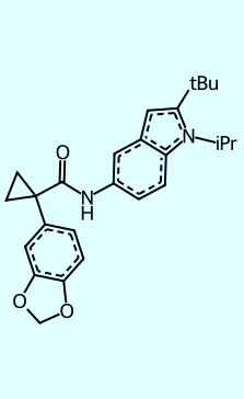 CC(C)n1c(C(C)(C)C)cc2cc(NC(=O)C3(c4ccc5c(c4)OCO5)CC3)ccc21